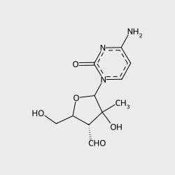 CC1(O)C(n2ccc(N)nc2=O)OC(CO)[C@H]1C=O